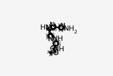 Nc1ccc(-c2cnc3[nH]cc(-c4ccnc(N[C@H]5CC[C@H](NS(=O)(=O)C6CC6)CC5)c4)c3c2)cn1